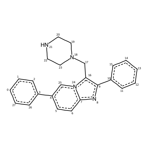 c1ccc(-c2ccc3nc(-c4ccccc4)c(CN4CCNCC4)n3c2)cc1